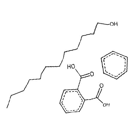 CCCCCCCCCCCCO.O=C(O)c1ccccc1C(=O)O.c1ccccc1